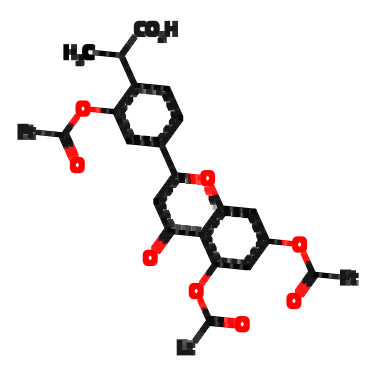 CCC(=O)Oc1cc(OC(=O)CC)c2c(=O)cc(-c3ccc(C(C)C(=O)O)c(OC(=O)CC)c3)oc2c1